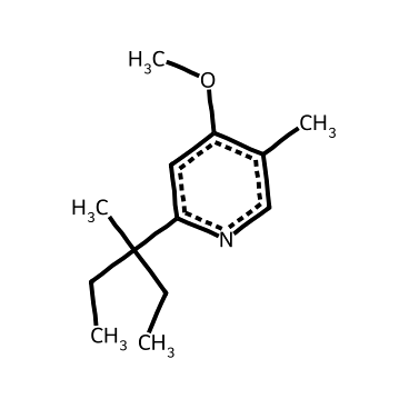 CCC(C)(CC)c1cc(OC)c(C)cn1